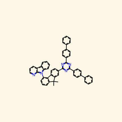 CC1(C)c2cc(-c3nc(-c4ccc(-c5ccccc5)cc4)nc(-c4ccc(-c5ccccc5)cc4)n3)ccc2-c2c(-n3c4ccccc4c4cccnc43)cccc21